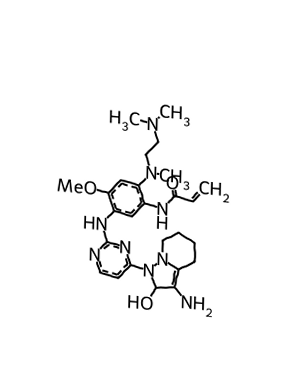 C=CC(=O)Nc1cc(Nc2nccc(N3C(O)C(N)=C4CCCCN43)n2)c(OC)cc1N(C)CCN(C)C